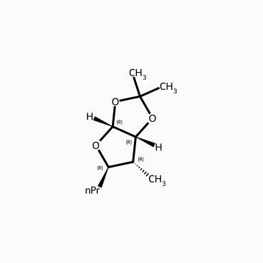 CCC[C@H]1O[C@@H]2OC(C)(C)O[C@@H]2[C@@H]1C